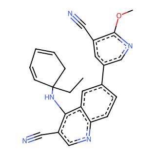 CCC1(Nc2c(C#N)cnc3ccc(-c4cnc(OC)c(C#N)c4)cc23)C=CC=CC1